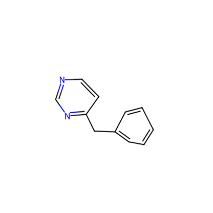 c1ccc(Cc2ccncn2)cc1